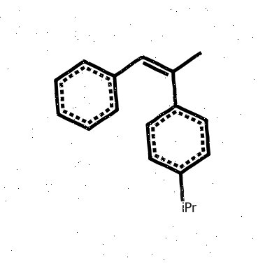 CC(=Cc1ccccc1)c1ccc(C(C)C)cc1